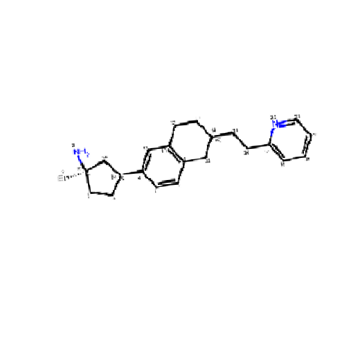 CC[C@@]1(N)CC[C@H](c2ccc3c(c2)CC[C@@H](CCc2ccccn2)C3)C1